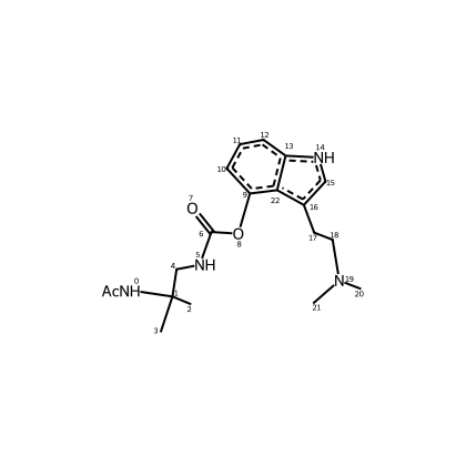 CC(=O)NC(C)(C)CNC(=O)Oc1cccc2[nH]cc(CCN(C)C)c12